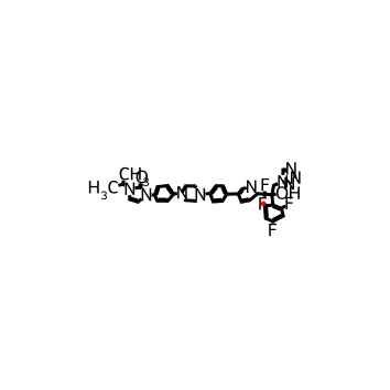 CC(C)n1ccn(-c2ccc(N3CCN(c4ccc(-c5ccc(C(F)(F)C(O)(Cn6cnnn6)c6ccc(F)cc6F)nc5)cc4)CC3)cc2)c1=O